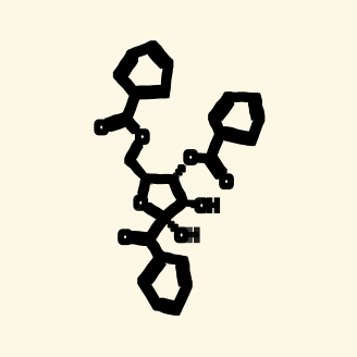 O=C(OC[C@@H]1O[C@](O)(C(=O)c2ccccc2)[C@@H](O)[C@H]1OC(=O)c1ccccc1)c1ccccc1